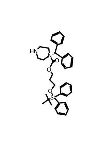 CC(C)(C)[Si](OCCCOC(=O)[N+]1(C(c2ccccc2)c2ccccc2)CCNCC1)(c1ccccc1)c1ccccc1